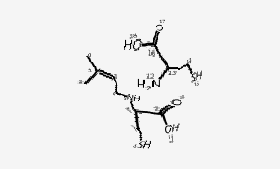 CC(C)=CCNC(CS)C(=O)O.NC(CS)C(=O)O